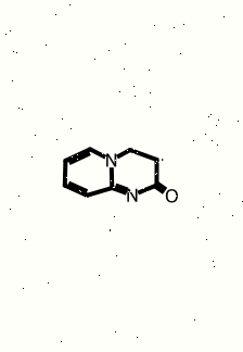 O=C1[CH]CN2C=CC=CC2=N1